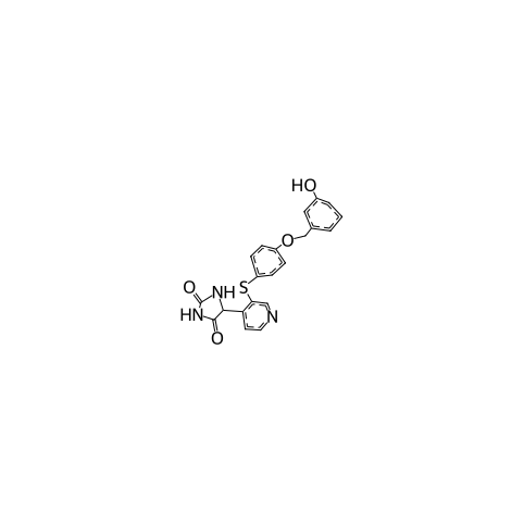 O=C1NC(=O)C(c2ccncc2Sc2ccc(OCc3cccc(O)c3)cc2)N1